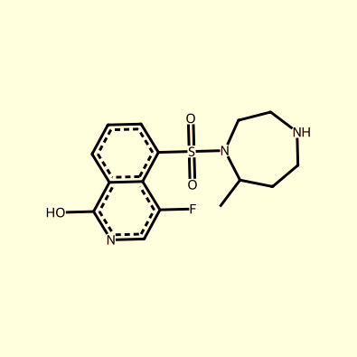 CC1CCNCCN1S(=O)(=O)c1cccc2c(O)ncc(F)c12